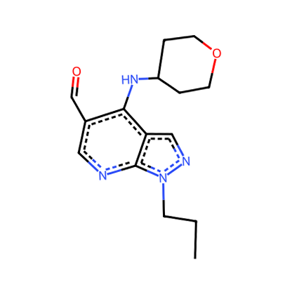 CCCn1ncc2c(NC3CCOCC3)c(C=O)cnc21